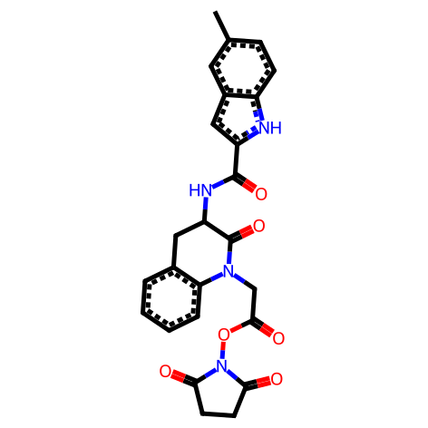 Cc1ccc2[nH]c(C(=O)NC3Cc4ccccc4N(CC(=O)ON4C(=O)CCC4=O)C3=O)cc2c1